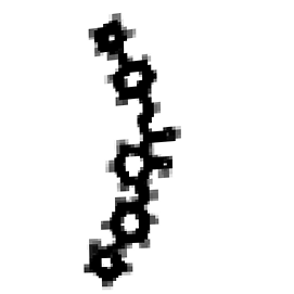 O=C(C=Cc1ccc(-n2cccn2)cc1)C1CCCC(=Cc2ccc(-n3cccn3)cc2)C1=O